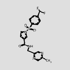 Cc1cnc(CNC(=O)c2ccn(S(=O)(=O)c3ccc(C(F)F)cc3)c2)cn1